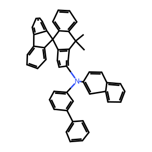 CC1(C)c2ccccc2C2(c3ccccc3-c3ccccc32)c2ccc(N(c3cccc(-c4ccccc4)c3)c3ccc4ccccc4c3)cc21